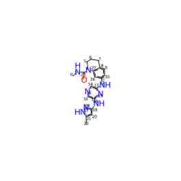 CNC(=O)N1CCCc2ccc(Nc3cncc(Nc4cc(C)[nH]n4)n3)cc21